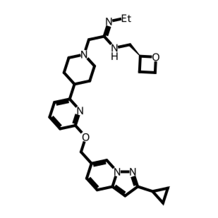 CC/N=C(/CN1CCC(c2cccc(OCc3ccc4cc(C5CC5)nn4c3)n2)CC1)NC[C@@H]1CCO1